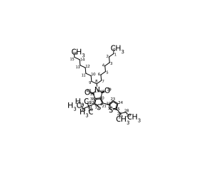 CCCCCCCCC(CCCCCCCC)N1C(=O)c2c(-c3ccc(C(C)CC)s3)sc(C(C)(C)CC)c2C1=O